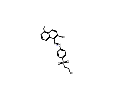 Nc1ccc2c(S)cccc2c1/N=N/c1ccc(S(=O)(=O)CCO)cc1